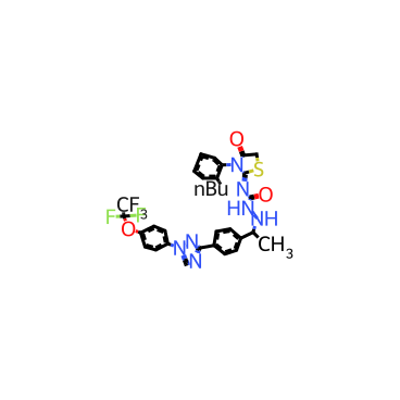 CCCCc1ccccc1N1C(=O)CS/C1=N\C(=O)NNC(C)c1ccc(-c2ncn(-c3ccc(OC(F)(F)C(F)(F)F)cc3)n2)cc1